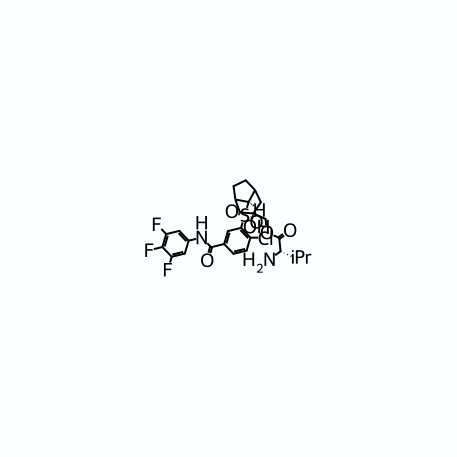 CC(C)[C@H](N)C(=O)OC[C@]1(O)CC2CCC(C1)[C@H]2S(=O)(=O)c1cc(C(=O)Nc2cc(F)c(F)c(F)c2)ccc1Cl